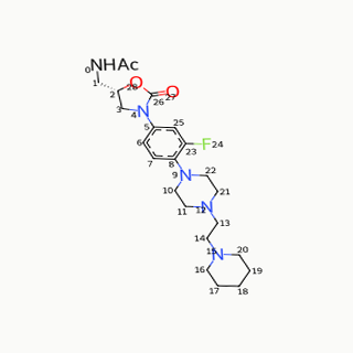 CC(=O)NC[C@H]1CN(c2ccc(N3CCN(CCN4CCCCC4)CC3)c(F)c2)C(=O)O1